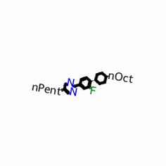 CCCCCCCC[C@H]1CC[C@H](c2ccc(-c3ncc(CCCCC)cn3)cc2F)CC1